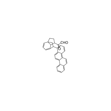 O=CC(=O)C1CCC23C=CC=C(C(c4cccc5c4ccc4c6ccccc6ccc54)C2)C13